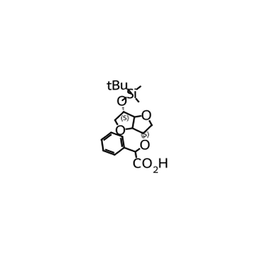 CC(C)(C)[Si](C)(C)O[C@H]1COC2C1OC[C@@H]2OC(C(=O)O)c1ccccc1